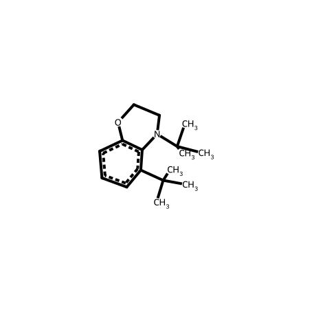 CC(C)(C)c1cccc2c1N(C(C)(C)C)CCO2